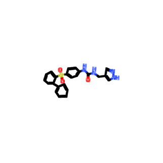 O=C(NCc1cn[nH]c1)Nc1ccc(S(=O)(=O)c2ccccc2-c2ccccc2)cc1